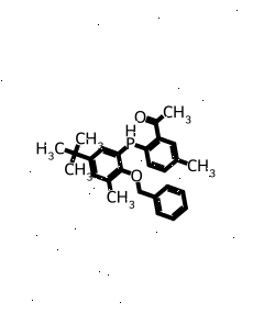 CC(=O)c1cc(C)ccc1Pc1cc(C(C)(C)C)cc(C)c1OCc1ccccc1